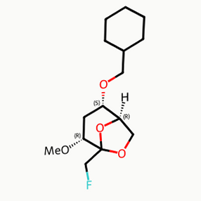 CO[C@@H]1C[C@H](OCC2CCCCC2)[C@H]2COC1(CF)O2